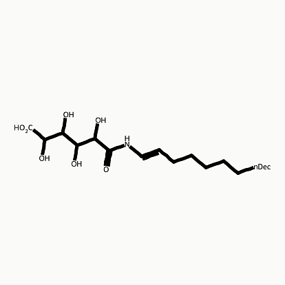 CCCCCCCCCCCCCCCC=CNC(=O)C(O)C(O)C(O)C(O)C(=O)O